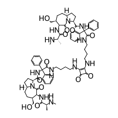 CN[C@@H](C)C(=O)NC1C(=O)N2[C@@H](CC[C@@H]1CO)CC[C@H]2C(=O)NC(C(=O)NCCCCNc1c(NCCCCNC(=O)C(NC(=O)[C@@H]2CC[C@@H]3CC[C@H](CO)[C@H](NC(=O)[C@H](C)NC)C(=O)N32)(c2ccccc2)c2ccccc2)c(=O)c1=O)(c1ccccc1)c1ccccc1